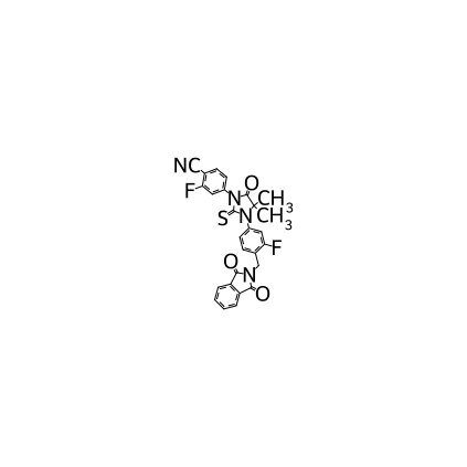 CC1(C)C(=O)N(c2ccc(C#N)c(F)c2)C(=S)N1c1ccc(CN2C(=O)c3ccccc3C2=O)c(F)c1